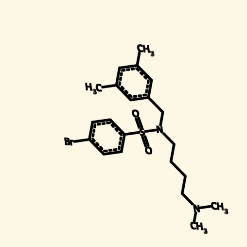 Cc1cc(C)cc(CN(CCCCN(C)C)S(=O)(=O)c2ccc(Br)cc2)c1